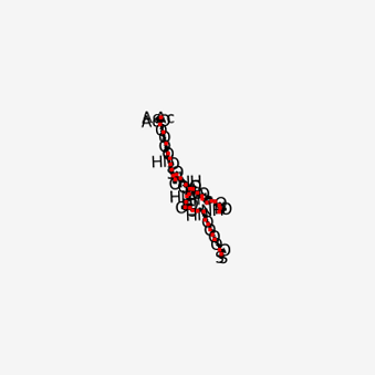 CC(=O)C(C(C)=O)(C(C)=O)C(=O)CCOCCOCCOCCOCCNC(=O)CCSC1CC(=O)N(CCNC(=O)CN(CC(=O)NCCN2C(=O)CC(SCCCC(=N)NCCOCCOCCOCCOCCC(=O)C3SS3)C2=O)C(=O)COCC(=O)Nc2ccc(CCC(=O)N3CCC3=O)cc2)C1=O